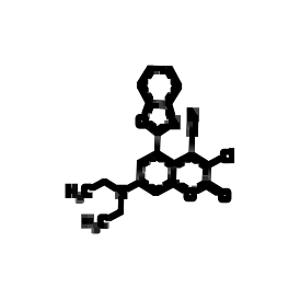 CCN(CC)c1cc(-c2nc3ccccc3o2)c2c(C#N)c(Cl)c(=O)oc2c1